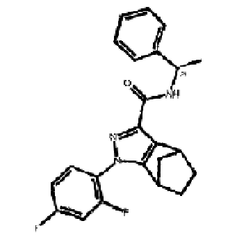 C[C@@H](NC(=O)c1nn(-c2ccc(F)cc2F)c2c1C1CCC2C1)c1ccccc1